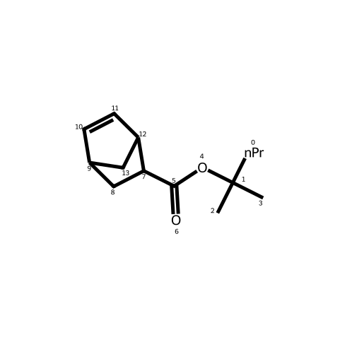 CCCC(C)(C)OC(=O)C1CC2C=CC1C2